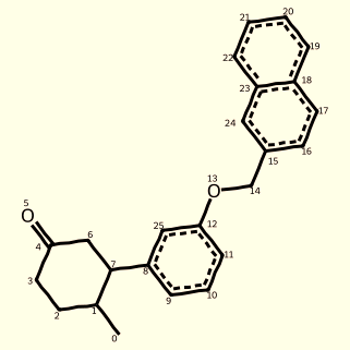 CC1CCC(=O)CC1c1cccc(OCc2ccc3ccccc3c2)c1